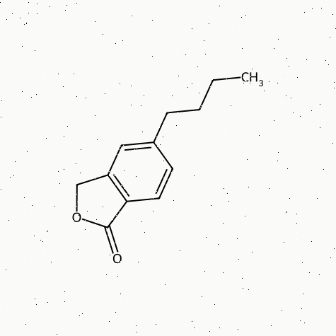 CCCCc1ccc2c(c1)COC2=O